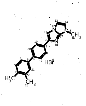 Br.Cc1ccc(-c2ccc(-c3cn4ccn(C)c4n3)cc2)cc1C